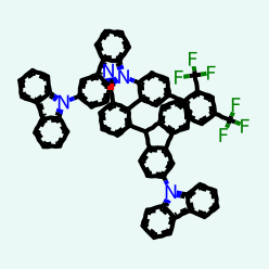 N#Cc1cccc(C2c3ccccc3-c3cc(-n4c5ccccc5c5ccccc54)ccc32)c1-c1cc(-c2ccc(C(F)(F)F)cc2C(F)(F)F)ccc1-n1c2ccccc2c2cc(-n3c4ccccc4c4ccccc43)ccc21